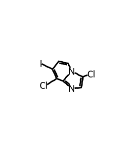 Clc1c(I)ccn2c(Cl)cnc12